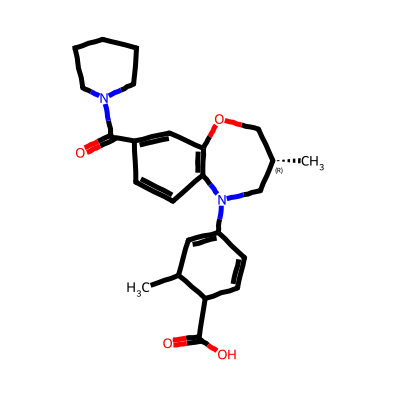 CC1C=C(N2C[C@@H](C)COc3cc(C(=O)N4CCCCC4)ccc32)C=CC1C(=O)O